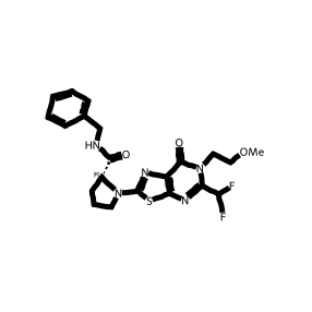 COCCn1c(C(F)F)nc2sc(N3CCC[C@@H]3C(=O)NCc3ccccc3)nc2c1=O